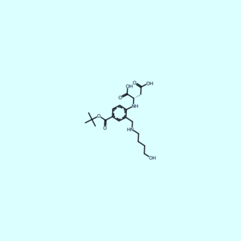 CC(C)(C)OC(=O)c1ccc(N[C@@H](CC(=O)O)C(=O)O)c(CNCCCCO)c1